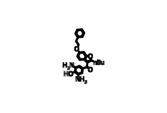 CCCCc1oc2cc(OCCc3ccccc3)ccc2c1C(=O)c1cc(N)c(O)c(N)c1